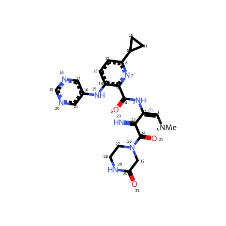 CN/C=C(/NC(=O)c1nc(C2CC2)ccc1Nc1cncnc1)C(=N)C(=O)N1CCNC(=O)C1